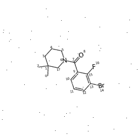 CC1(C)CCCN(C(=O)c2cccc(Br)c2F)C1